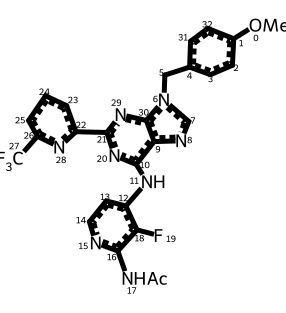 COc1ccc(Cn2cnc3c(Nc4ccnc(NC(C)=O)c4F)nc(-c4cccc(C(F)(F)F)n4)nc32)cc1